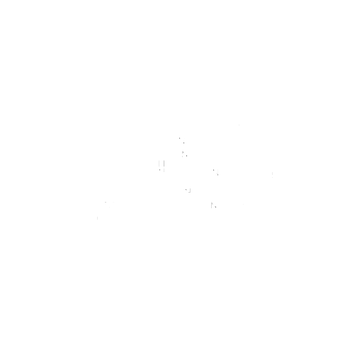 OCC[C@@H]1CCCCN1c1nc(NCc2ccc[n+](O)c2)n2ncc(C3CC3)c2n1